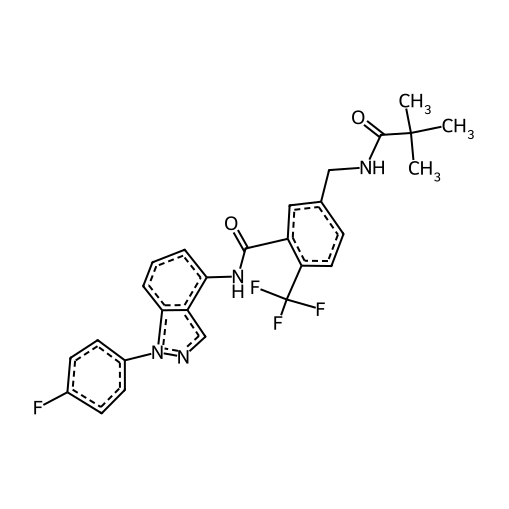 CC(C)(C)C(=O)NCc1ccc(C(F)(F)F)c(C(=O)Nc2cccc3c2cnn3-c2ccc(F)cc2)c1